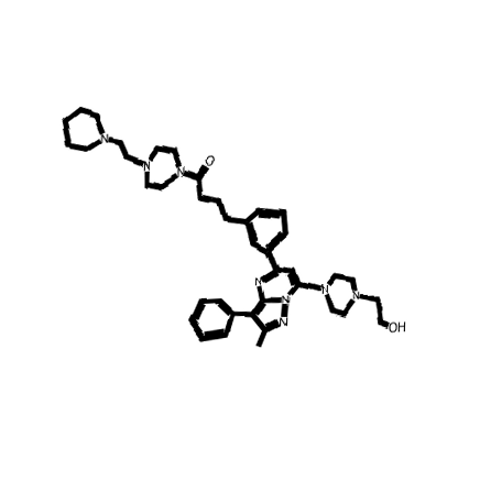 Cc1nn2c(N3CCN(CCO)CC3)cc(-c3cccc(CCCC(=O)N4CCN(CCN5CCCCC5)CC4)c3)nc2c1-c1ccccc1